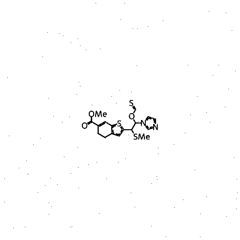 COC(=O)C1=Cc2sc(C(SC)C(OC=S)n3ccnc3)cc2CC1